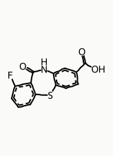 O=C(O)c1ccc2c(c1)NC(=O)c1c(F)cccc1S2